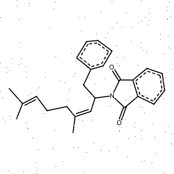 CC(C)=CCCC(C)=CC(Cc1ccccc1)N1C(=O)c2ccccc2C1=O